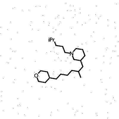 CC(C)CCCN1CCCC(CC(C)CCCCC2CCOCC2)C1